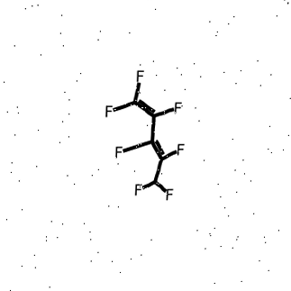 FC(F)=C(F)C(F)=C(F)C(F)F